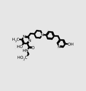 Cc1nc(CC2CCN(c3ccc(Cc4cncc(O)c4)cc3)CC2)nc(C(=O)NCC(=O)O)c1O